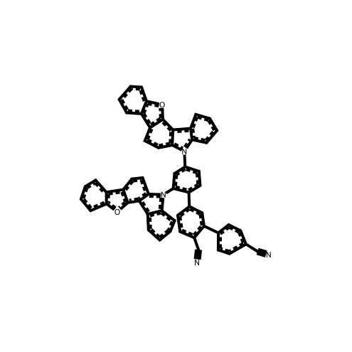 N#Cc1ccc(-c2cc(-c3ccc(-n4c5ccccc5c5c6oc7ccccc7c6ccc54)cc3-n3c4ccccc4c4c5oc6ccccc6c5ccc43)ccc2C#N)cc1